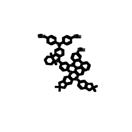 Cc1cc2c3c(c1)N(c1ccc(C(C)(C)C)cc1-c1ccccc1)c1cc(N4c5ccc(N(c6ccc(C(C)(C)C)cc6)c6ccc(C(C)(C)C)cc6)cc5C5(C)CCCCC45C)ccc1B3c1cc3c(cc1N2c1ccc2c(c1)CC(C)(C)C2)CC(C)(C)C3